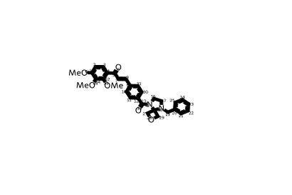 COc1ccc(C(=O)/C=C/c2ccc(C(=O)N3CCN(Cc4ccccc4)C34COC4)cc2)c(OC)c1OC